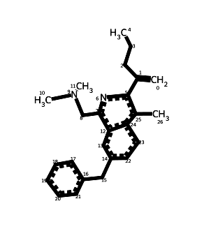 C=C(CCC)c1nc(CN(C)C)c2cc(Cc3ccccc3)ccc2c1C